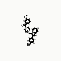 COc1cccc(C(=O)N2CCN(Cc3c(-c4ccc(Br)cc4)nc4ccccn34)CC2)c1